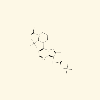 Cc1nn2c(C3CCCN(C(=O)O)C3C(C)(C)C)ccnc2c1NC(=O)OC(C)(C)C